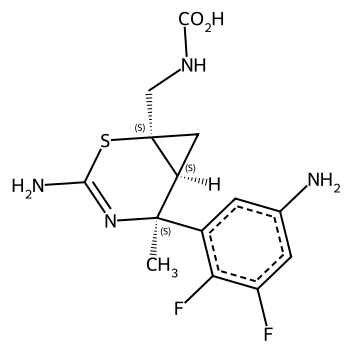 C[C@]1(c2cc(N)cc(F)c2F)N=C(N)S[C@@]2(CNC(=O)O)C[C@H]21